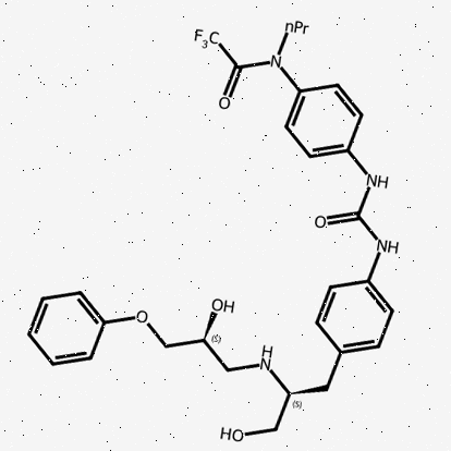 CCCN(C(=O)C(F)(F)F)c1ccc(NC(=O)Nc2ccc(C[C@@H](CO)NC[C@H](O)COc3ccccc3)cc2)cc1